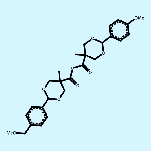 COCc1ccc(C2OCC(C)(C(=O)OC(=O)C3(C)COC(c4ccc(OC)cc4)OC3)CO2)cc1